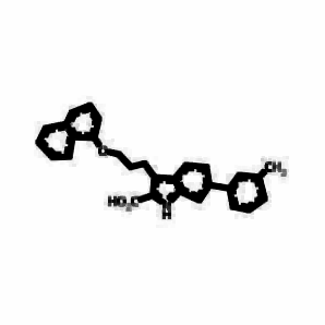 Cc1cccc(-c2ccc3c(CCCOc4cccc5ccccc45)c(C(=O)O)[nH]c3c2)c1